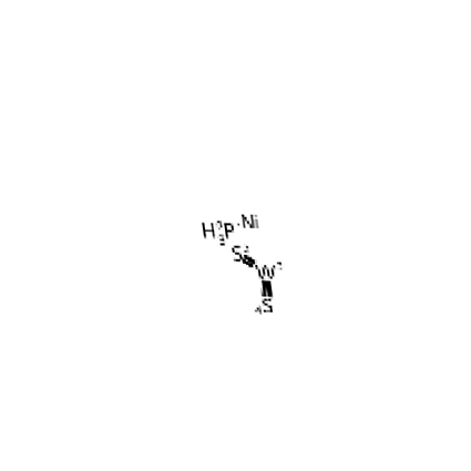 P.[Ni].[S]=[W]=[S]